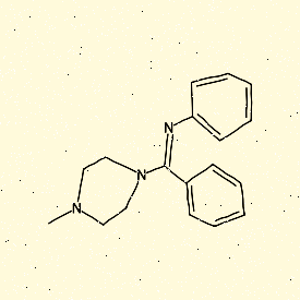 CN1CCN(C(=Nc2ccccc2)c2ccccc2)CC1